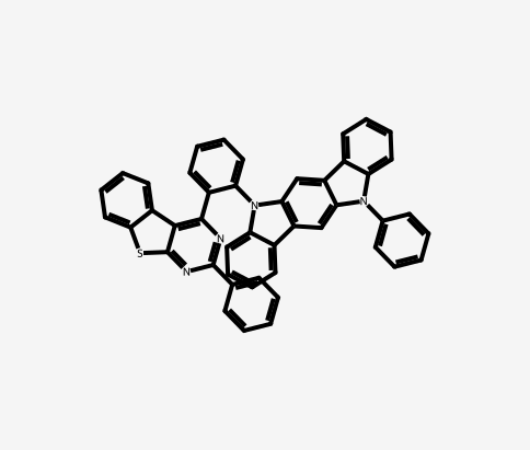 c1ccc(-c2nc(-c3ccccc3-n3c4ccccc4c4cc5c(cc43)c3ccccc3n5-c3ccccc3)c3c(n2)sc2ccccc23)cc1